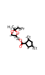 CCC1CC(CC)C(C(=O)OCC2COC(C)(CC(C)C)O2)C1